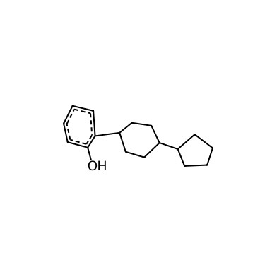 Oc1ccccc1C1CCC(C2CCCC2)CC1